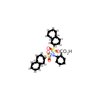 O=C(O)c1ccccc1N(S(=O)(=O)c1ccc2ccccc2c1)S(=O)(=O)c1ccc2ccccc2c1